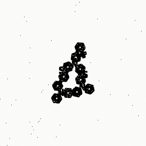 CC1(C)c2ccccc2-c2ccc(N(c3ccc4sc5cc(-c6cccc(N(c7ccccc7)c7ccccc7)c6)ccc5c4c3)c3ccc4sc5cc(N(c6ccccc6)c6ccccc6)ccc5c4c3)cc21